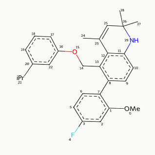 COc1cc(F)ccc1-c1ccc2c(c1COc1cccc(C(C)C)c1)C(C)=CC(C)(C)N2